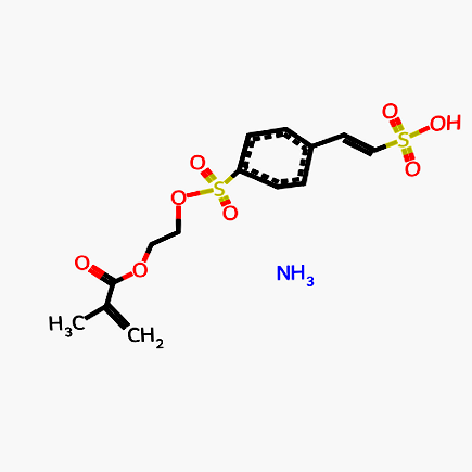 C=C(C)C(=O)OCCOS(=O)(=O)c1ccc(C=CS(=O)(=O)O)cc1.N